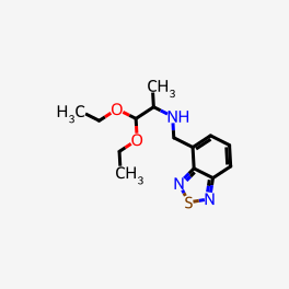 CCOC(OCC)C(C)NCc1cccc2nsnc12